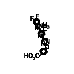 Cc1cc(-c2cnc(O[C@H]3CC[C@@H](CC(=O)O)CC3)nc2)ncc1-c1nc2cc(F)c(F)cc2[nH]1